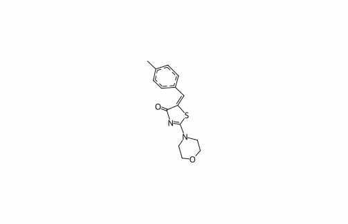 Cc1ccc(C=C2SC(N3CCOCC3)=NC2=O)cc1